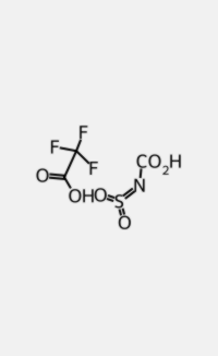 O=C(O)C(F)(F)F.O=C(O)N=S(=O)=O